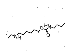 CCCCNC(=O)OCCCCCCNCC